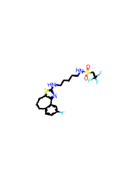 O=S(=O)(CC(F)(F)F)NCCCCCNc1nc2c(s1)CCCc1ccc(F)cc1-2